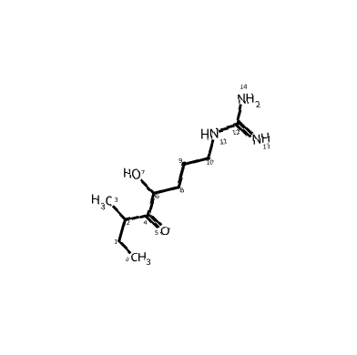 CCC(C)C(=O)C(O)CCCNC(=N)N